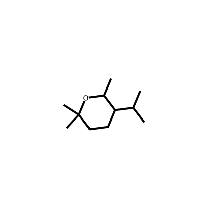 CC(C)C1CCC(C)(C)OC1C